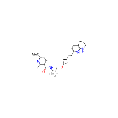 COc1cc(C)c(C(=O)N[C@H](CCOC2CC(CCc3ccc4c(n3)NCCC4)C2)C(=O)O)c(C)n1